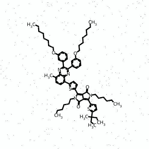 CCCCCCCCOc1cccc(-c2nc3c(C)ccc(-c4ccc(C5=C6C(=O)N(CCCCCC)C(c7ccc(C(C)(CC)CC)s7)=C6C(=O)N5CCCCCC)s4)c3nc2-c2cccc(OCCCCCCCC)c2)c1